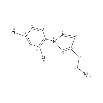 NCCc1cnn(-c2ccc(Cl)cc2Cl)c1